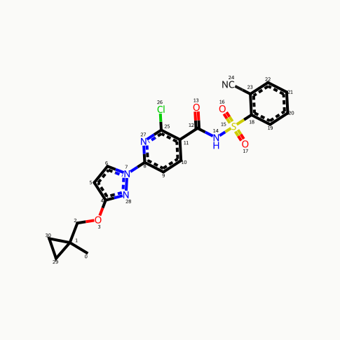 CC1(COc2ccn(-c3ccc(C(=O)NS(=O)(=O)c4ccccc4C#N)c(Cl)n3)n2)CC1